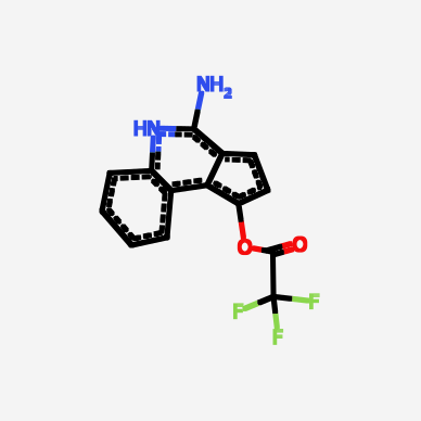 Nc1[nH]c2ccccc2c2c(OC(=O)C(F)(F)F)ccc1-2